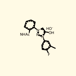 CC(=O)Nc1ccccc1-[n+]1cc(O)n(-c2ccc(F)c(C)c2)n1.[OH-]